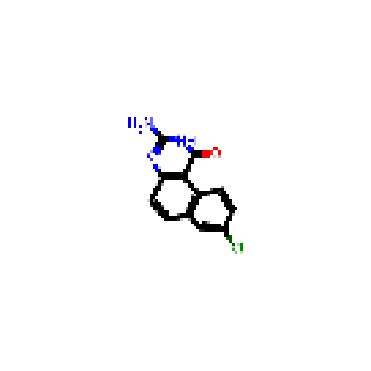 Nc1nc2ccc3cc(Cl)ccc3c2c(=O)[nH]1